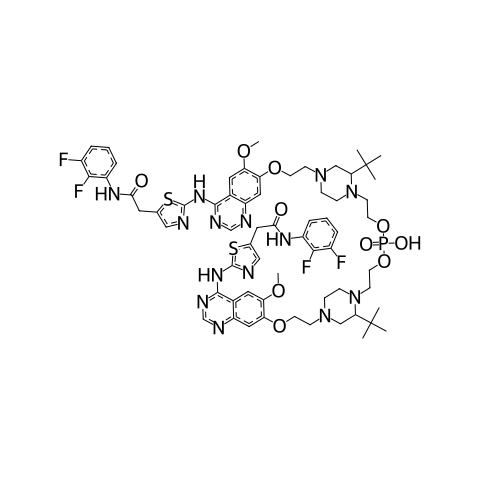 COc1cc2c(Nc3ncc(CC(=O)Nc4cccc(F)c4F)s3)ncnc2cc1OCCN1CCN(CCOP(=O)(O)OCCN2CCN(CCOc3cc4ncnc(Nc5ncc(CC(=O)Nc6cccc(F)c6F)s5)c4cc3OC)CC2C(C)(C)C)C(C(C)(C)C)C1